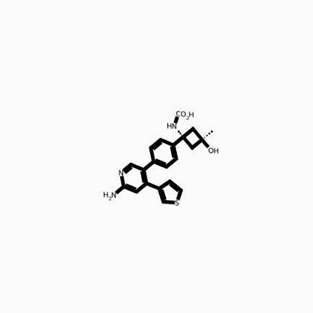 C[C@]1(O)C[C@@](NC(=O)O)(c2ccc(-c3cnc(N)cc3-c3ccsc3)cc2)C1